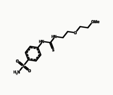 COCCOCCNC(=S)Nc1ccc(S(N)(=O)=O)cc1